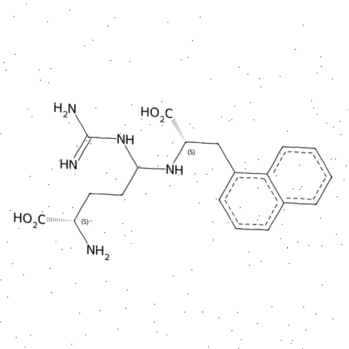 N=C(N)NC(CC[C@H](N)C(=O)O)N[C@@H](Cc1cccc2ccccc12)C(=O)O